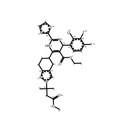 CCOC(=O)C1=C(C2CCc3nn(C(C)(C)CC(=O)OC)cc3C2)NC(c2nccs2)=NC1c1ccc(F)c(F)c1Cl